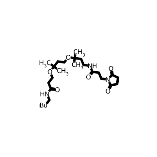 CCC(C)CNC(=O)CCOC(C)(C)CCOC(C)(C)CCNC(=O)CCN1C(=O)CCC1=O